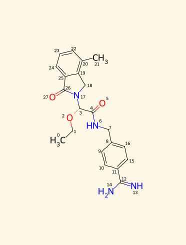 CCO[C@@H](C(=O)NCc1ccc(C(=N)N)cc1)N1Cc2c(C)cccc2C1=O